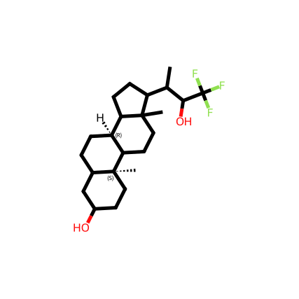 CC(C(O)C(F)(F)F)C1CCC2[C@@H]3CCC4CC(O)CC[C@]4(C)C3CCC12C